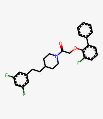 O=C(COc1c(F)cccc1-c1ccccc1)N1CCC(CCc2cc(F)cc(F)c2)CC1